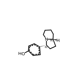 Oc1ccc([C@H]2CC[C@H]3CCCCN32)cc1